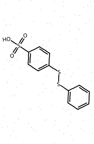 O=S(=O)(O)c1ccc(SSc2ccccc2)cc1